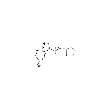 Brc1ccc2ncc(SNC3CCCC3)n2c1